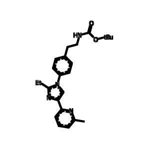 CCc1nc(-c2cccc(C)n2)cn1-c1ccc(CCNC(=O)OC(C)(C)C)cc1